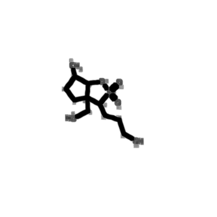 CC1CCC2(CO)C1OS(=O)(=O)C2CCCO